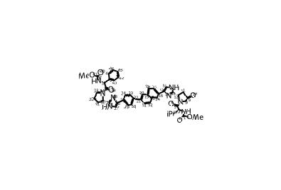 COC(=O)N[C@H](C(=O)N1CC(=O)C[C@H]1c1nc(-c2ccc3cc(-c4ccc(-c5c[nH]c([C@@H]6CCCN6C(=O)[C@H](NC(=O)OC)c6ccccc6)n5)cc4)ccc3c2)c[nH]1)C(C)C